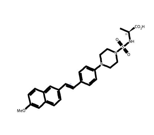 COc1ccc2cc(/C=C/c3ccc(N4CCN(S(=O)(=O)N[C@@H](C)C(=O)O)CC4)cc3)ccc2c1